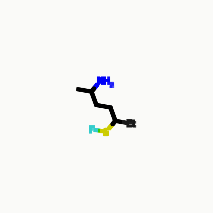 CCC(CCC(C)N)SF